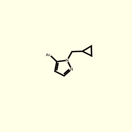 CC(=O)c1ccnn1CC1CC1